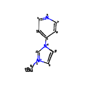 CC(C)(C)[n+]1ccn(-c2ccncc2)c1